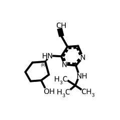 C#Cc1cnc(NC(C)(C)C)nc1N[C@@H]1CCCC(O)C1